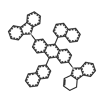 C1=Cc2c(c3ccccc3n2-c2ccc3c(-c4cccc5ccccc45)c4cc(-n5c6ccccc6c6ccccc65)ccc4c(-c4ccc5ccccc5c4)c3c2)CC1